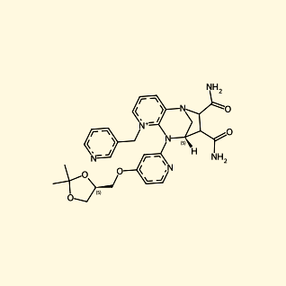 CC1(C)OC[C@H](COc2ccnc(N3c4c(ccc[n+]4Cc4cccnc4)N4C[C@@H]3C(C(N)=O)C4C(N)=O)c2)O1